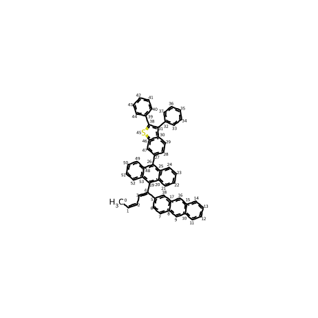 C/C=C\C=C(/c1ccc2cc3ccccc3cc2c1)c1c2ccccc2c(-c2ccc3c(-c4ccccc4)c(-c4ccccc4)sc3c2)c2ccccc12